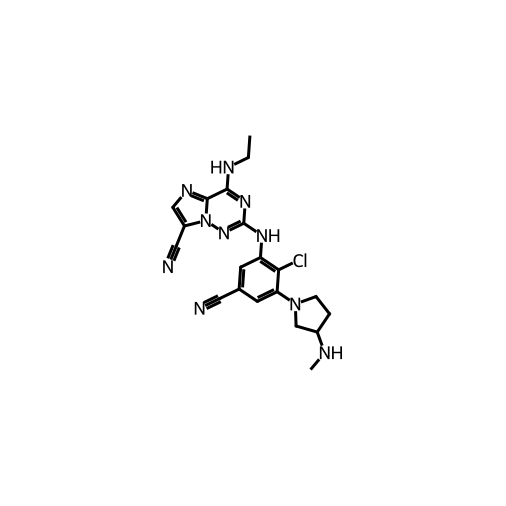 CCNc1nc(Nc2cc(C#N)cc(N3CCC(NC)C3)c2Cl)nn2c(C#N)cnc12